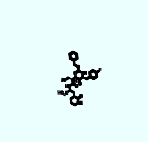 CC(C)C[C@H](NC(=O)[C@H](Cc1ccc(F)cc1)NC(=O)OCc1ccccc1)C(=O)N[C@@H](C[C@@H]1CCCNC1=O)C(=O)O